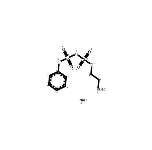 CCCCCCCCCCCCOS(=O)(=O)OS(=O)(=O)Oc1ccccc1.[NaH]